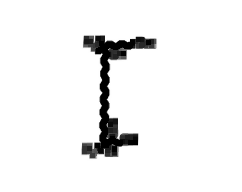 CCCCCCCCCCCCCCC(C)(N)C(O)CCCCCCCCCCCCCC(N)(CC)C(O)CO